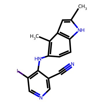 Cc1cc2c(C)c(Nc3c(I)cncc3C#N)ccc2[nH]1